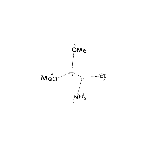 CCC(N)C(OC)OC